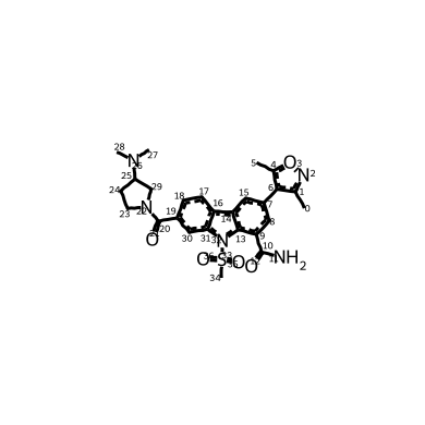 Cc1noc(C)c1-c1cc(C(N)=O)c2c(c1)c1ccc(C(=O)N3CCC(N(C)C)C3)cc1n2S(C)(=O)=O